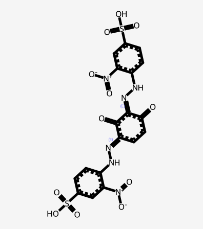 O=c1cc/c(=N\Nc2ccc(S(=O)(=O)O)cc2[N+](=O)[O-])c(=O)/c1=N/Nc1ccc(S(=O)(=O)O)cc1[N+](=O)[O-]